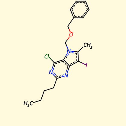 CCCCc1nc(Cl)c2c(n1)c(I)c(C)n2COCc1ccccc1